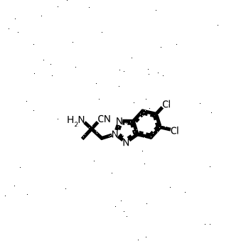 CC(N)(C#N)Cn1nc2cc(Cl)c(Cl)cc2n1